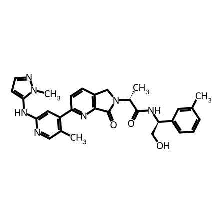 Cc1cccc([C@@H](CO)NC(=O)[C@@H](C)N2Cc3ccc(-c4cc(Nc5ccnn5C)ncc4C)nc3C2=O)c1